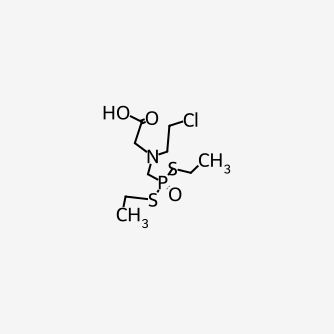 CCSP(=O)(CN(CCCl)CC(=O)O)SCC